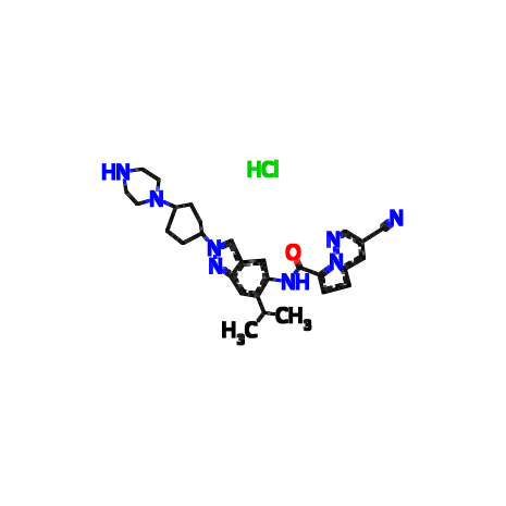 CC(C)c1cc2nn(C3CCC(N4CCNCC4)CC3)cc2cc1NC(=O)c1ccc2cc(C#N)cnn12.Cl